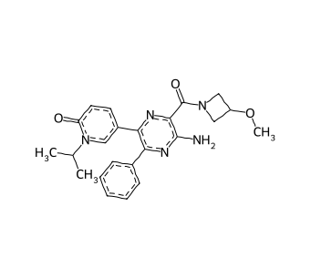 COC1CN(C(=O)c2nc(-c3ccc(=O)n(C(C)C)c3)c(-c3ccccc3)nc2N)C1